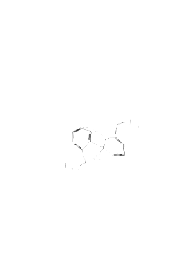 CCC1=CC=CC(C)(c2ccccc2CC)C1C